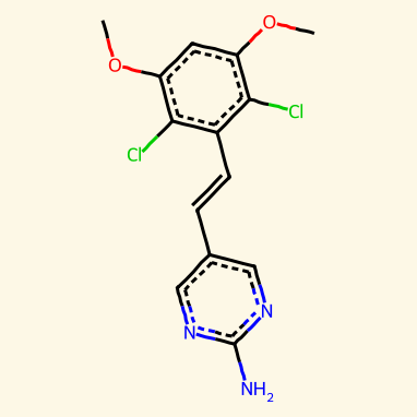 COc1cc(OC)c(Cl)c(/C=C/c2cnc(N)nc2)c1Cl